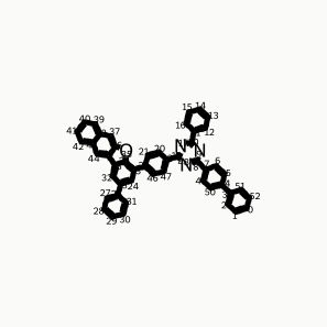 c1ccc(-c2ccc(-c3nc(-c4ccccc4)nc(-c4ccc(-c5cc(-c6ccccc6)cc6c5oc5cc7ccccc7cc56)cc4)n3)cc2)cc1